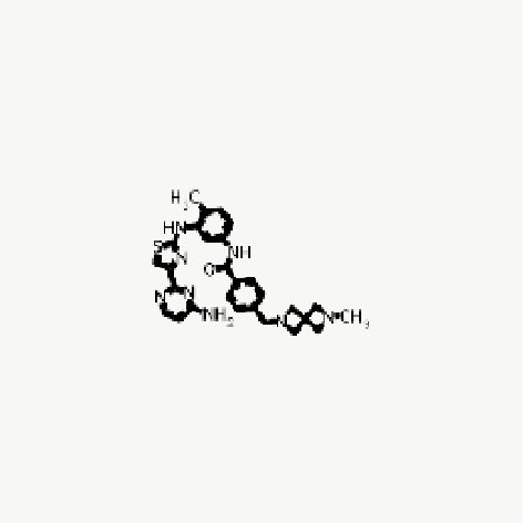 Cc1ccc(NC(=O)c2ccc(CN3CC4(CN(C)C4)C3)cc2)cc1Nc1nc(-c2nccc(N)n2)cs1